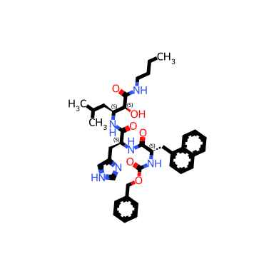 CCCCNC(=O)[C@@H](O)[C@H](CC(C)C)NC(=O)[C@H](Cc1c[nH]cn1)NC(=O)[C@H](Cc1cccc2ccccc12)NC(=O)OCc1ccccc1